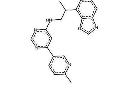 Cc1ccc(-c2cc(NCC(C)c3cccc4ncoc34)ncn2)cn1